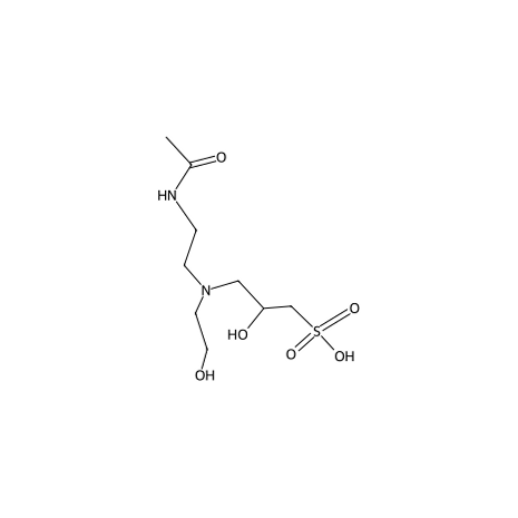 CC(=O)NCCN(CCO)CC(O)CS(=O)(=O)O